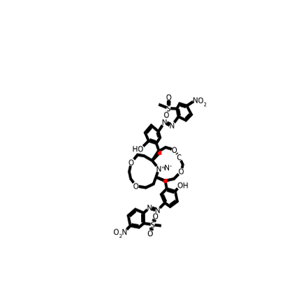 CS(=O)(=O)c1cc([N+](=O)[O-])ccc1N=Nc1ccc(O)c(CC23CCOCCOCCC(Cc4cc(N=Nc5ccc([N+](=O)[O-])cc5S(C)(=O)=O)ccc4O)(CCOCCOCC2)[N+]3=[N-])c1